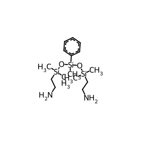 C[Si](C)(CCN)O[Si](C)(O[Si](C)(C)CCN)c1ccccc1